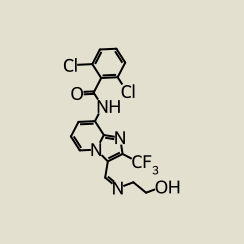 O=C(Nc1cccn2c(/C=N\CCO)c(C(F)(F)F)nc12)c1c(Cl)cccc1Cl